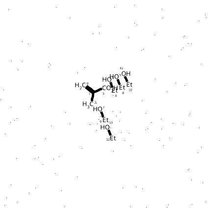 C=C(C)C(=O)O.CCO.CCO.CCO.CCO.CCO